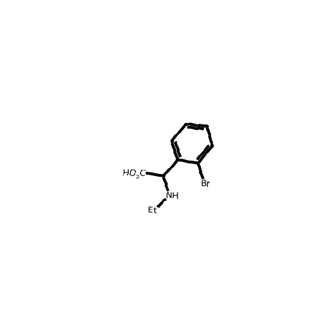 CCNC(C(=O)O)c1ccccc1Br